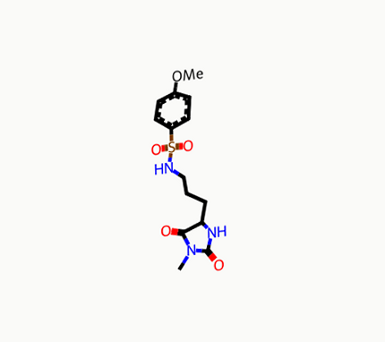 COc1ccc(S(=O)(=O)NCCCC2NC(=O)N(C)C2=O)cc1